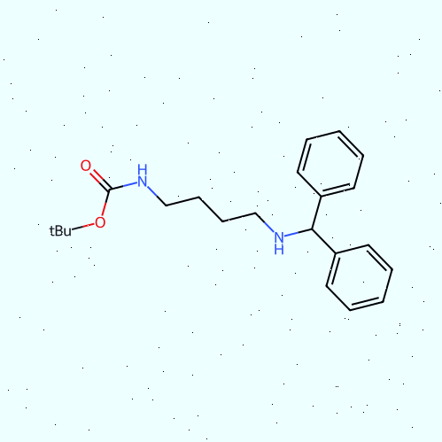 CC(C)(C)OC(=O)NCCCCNC(c1ccccc1)c1ccccc1